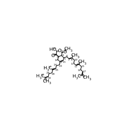 COC(=O)C1C(C/C=C(\C)CC/C=C(\C)CCC=C(C)C)C=C(CC/C=C(\C)CCC=C(C)C)CC1C(=O)CO